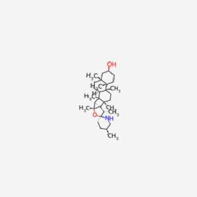 C[C@H]1CC[C@]2(NC1)O[C@]1(C)C3[C@@]1([C@@H]2C)[C@@]1(C)CC[C@]2(C)[C@H](CC[C@]4(C)C[C@@H](O)CC[C@@]42C)[C@@]31C